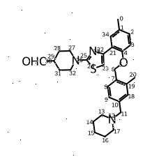 Cc1ccc(OCc2ccc(CN3CCCCC3)cc2C)c(-c2csc(N3CCC(C=O)CC3)n2)c1